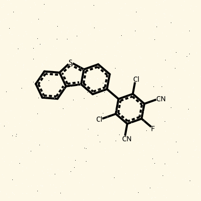 N#Cc1c(F)c(C#N)c(Cl)c(-c2ccc3sc4ccccc4c3c2)c1Cl